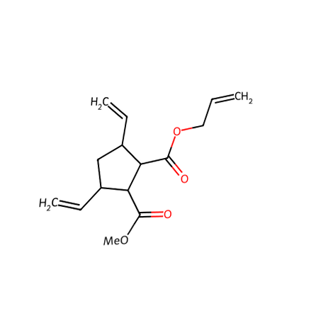 C=CCOC(=O)C1C(C=C)CC(C=C)C1C(=O)OC